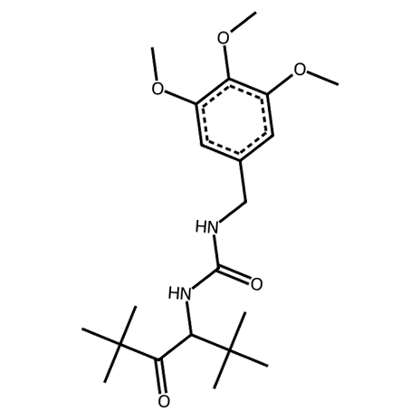 COc1cc(CNC(=O)NC(C(=O)C(C)(C)C)C(C)(C)C)cc(OC)c1OC